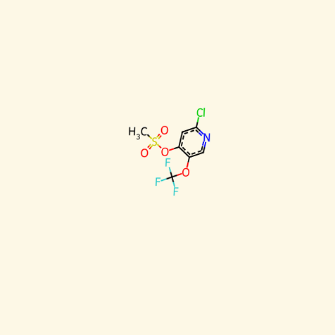 CS(=O)(=O)Oc1cc(Cl)ncc1OC(F)(F)F